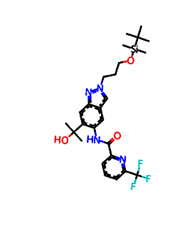 CC(C)(O)c1cc2nn(CCCO[Si](C)(C)C(C)(C)C)cc2cc1NC(=O)c1cccc(C(F)(F)F)n1